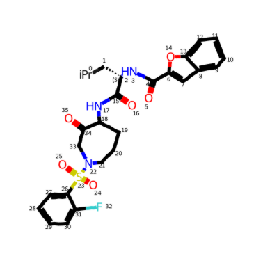 CC(C)C[C@H](NC(=O)c1cc2ccccc2o1)C(=O)NC1CCCN(S(=O)(=O)c2ccccc2F)CC1=O